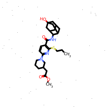 CCCSc1nc(N2CCCC(CC(=O)OC)C2)ccc1C(=O)NC1C2CC3CC1CC(O)(C3)C2